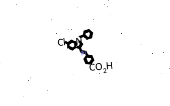 O=C(O)c1ccc(/C=C/c2cn(Cc3ccccc3)c3cc(Cl)ccc23)cc1